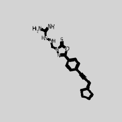 N=C(N)NNCn1nc(-c2ccc(C#CCC3CCCC3)cc2)oc1=S